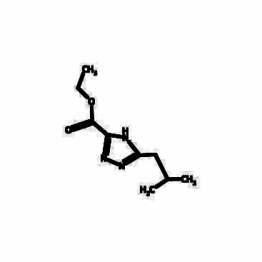 CCOC(=O)c1nnc(CC(C)C)[nH]1